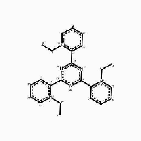 CC[n+]1ccccc1-c1nc(-c2cccc[n+]2CC)nc(-c2cccc[n+]2CC)n1